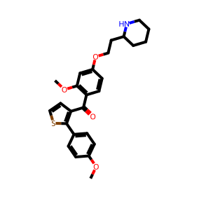 COc1ccc(-c2sccc2C(=O)c2ccc(OCCC3CCCCN3)cc2OC)cc1